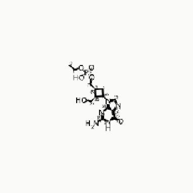 CCOP(=O)(O)OC[C@H]1C[C@@H](n2cnc3c(=O)[nH]c(N)nc32)[C@H]1CO